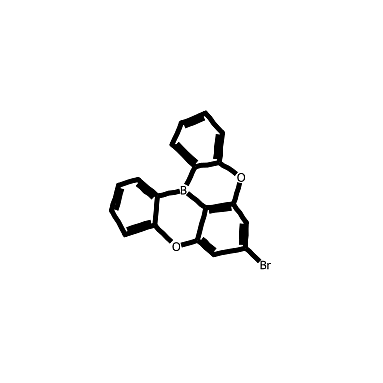 Brc1cc2c3c(c1)Oc1ccccc1B3c1ccccc1O2